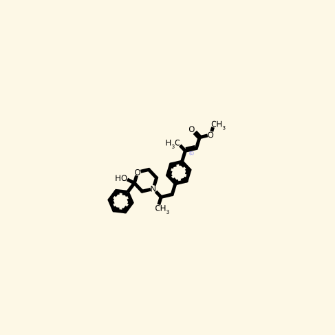 COC(=O)/C=C(\C)c1ccc(CC(C)N2CCOC(O)(c3ccccc3)C2)cc1